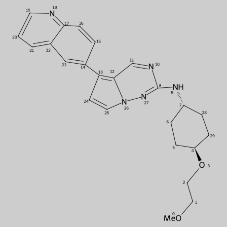 COCCO[C@H]1CC[C@H](Nc2ncc3c(-c4ccc5ncccc5c4)ccn3n2)CC1